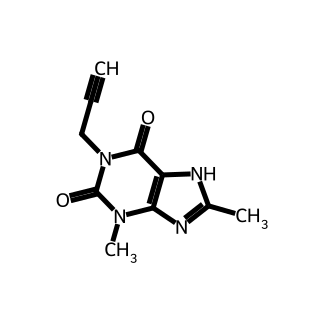 C#CCn1c(=O)c2[nH]c(C)nc2n(C)c1=O